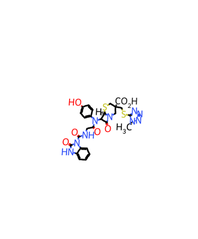 Cn1nnnc1SCC1(C(=O)O)CS[C@@H]2C(N(C(=O)CNC(=O)n3c(=O)[nH]c4ccccc43)c3ccc(O)cc3)C(=O)N2C1